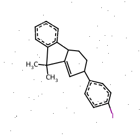 CC1(C)C2=CC(c3ccc(I)cc3)CCC2c2ccccc21